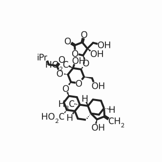 C=C1[C@@H]2CC[C@H]3[C@]4(C)C[C@H](O[C@@H]5O[C@H](CO)[C@@H](O[C@H]6OC(=O)C(=O)[C@]6(O)CO)[C@](O)(C(=O)O)[C@H]5OC(=O)CC(C)C)C[C@@H](C(=O)O)[C@H]4CC[C@]3(C2)[C@@H]1O